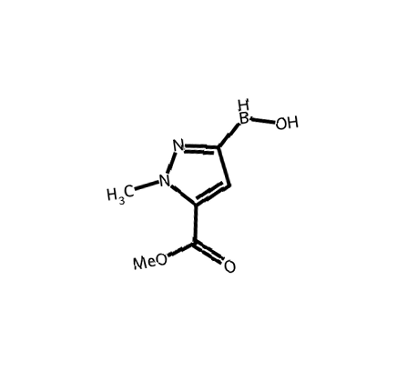 COC(=O)c1cc(BO)nn1C